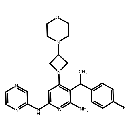 CC(c1ccc(F)cc1)c1c(N2CC(N3CCOCC3)C2)cc(Nc2cnccn2)nc1N